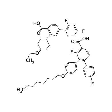 CCCCCCCCOc1ccc(-c2c(-c3ccc(F)cc3)ccc(C(=O)O)c2F)cc1.CCO[C@H]1CC[C@H](c2cc(-c3ccc(F)cc3F)ccc2C(=O)O)CC1